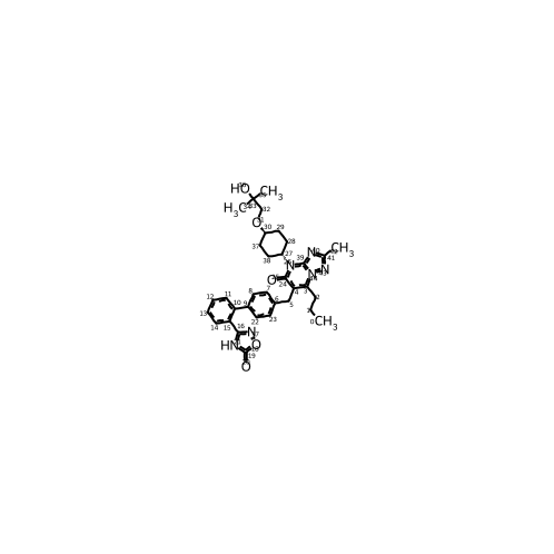 CCCc1c(Cc2ccc(-c3ccccc3-c3noc(=O)[nH]3)cc2)c(=O)n([C@H]2CC[C@H](OCC(C)(C)O)CC2)c2nc(C)nn12